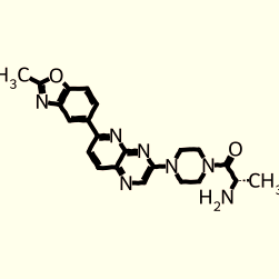 Cc1nc2cc(-c3ccc4ncc(N5CCN(C(=O)[C@H](C)N)CC5)nc4n3)ccc2o1